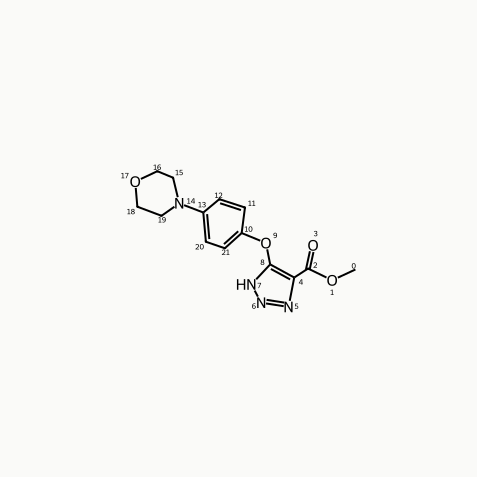 COC(=O)c1nn[nH]c1Oc1ccc(N2CCOCC2)cc1